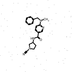 CN(Cc1ccccc1)c1ccc(C(=O)NC2CCN(C#N)C2)cn1